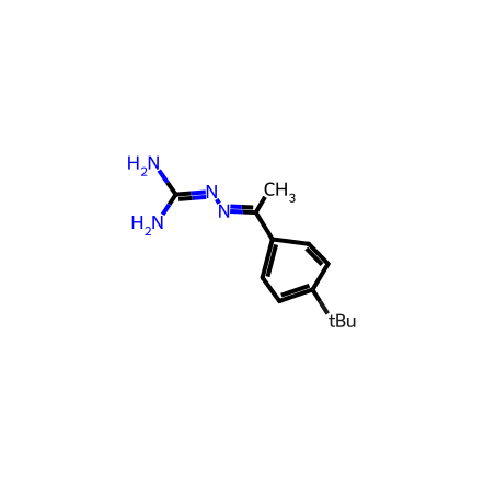 CC(=NN=C(N)N)c1ccc(C(C)(C)C)cc1